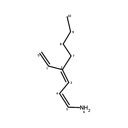 C=C/C(=C\C=C/N)CCCC